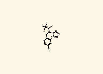 CC(C(Cc1ccc(Cl)cc1)n1cncn1)C(C)(C)C